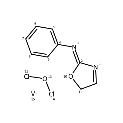 C1=NC(=Nc2ccccc2)OC1.ClOCl.[V]